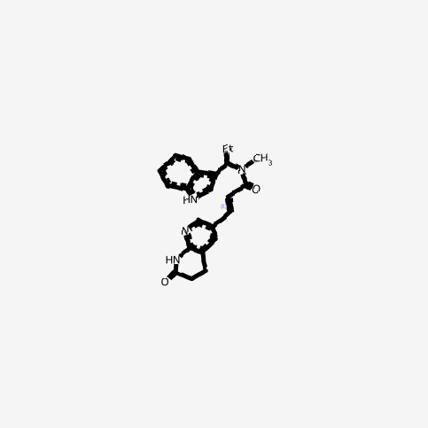 CCC(c1c[nH]c2ccccc12)N(C)C(=O)/C=C/c1cnc2c(c1)CCC(=O)N2